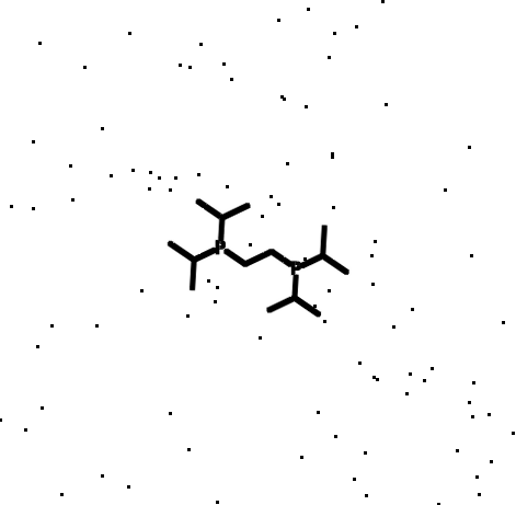 CC(C)P(CCP(C(C)C)C(C)C)C(C)C